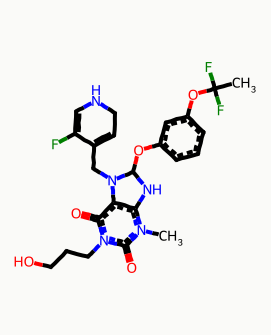 Cn1c2c(c(=O)n(CCCO)c1=O)N(CC1=CCNC=C1F)C(Oc1cccc(OC(C)(F)F)c1)N2